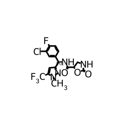 Cn1nc([C@H](NC(=O)C2CNC(=O)O2)c2ccc(F)c(Cl)c2)cc1C(F)(F)F